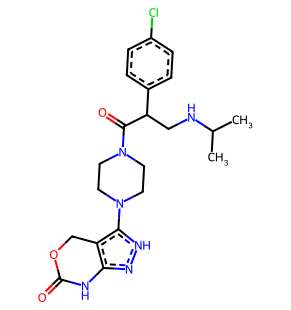 CC(C)NCC(C(=O)N1CCN(c2[nH]nc3c2COC(=O)N3)CC1)c1ccc(Cl)cc1